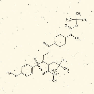 COc1ccc(S(=O)(=O)N(CCC(=O)N2CCC(N(C)C(=O)OC(C)(C)C)CC2)C(CC(C)(C)C)C(=O)NO)cc1